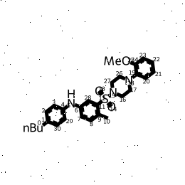 CCCCc1ccc(Nc2ccc(C)c(S(=O)(=O)N3CCN(c4ccccc4OC)CC3)c2)cc1